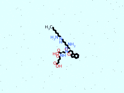 CCCCCC[C@H](N)CNCCCC[C@H](N)C(=O)C[C@H](CC1=CCc2ccccc21)C(=O)NCC[C@@H](NC(=O)CCCC(=O)O)C(=O)O